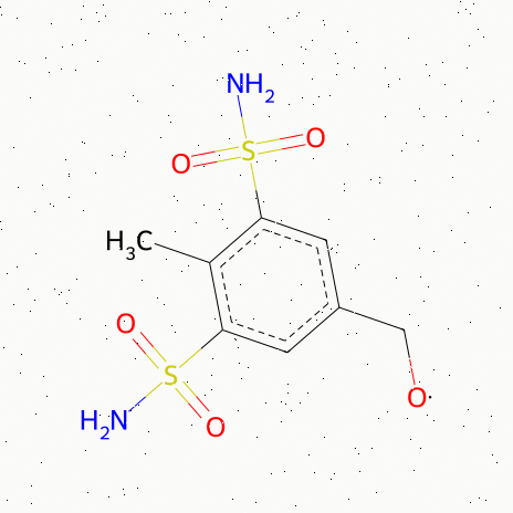 Cc1c(S(N)(=O)=O)cc(C[O])cc1S(N)(=O)=O